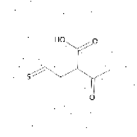 CC(=O)C(CC=S)C(=O)O